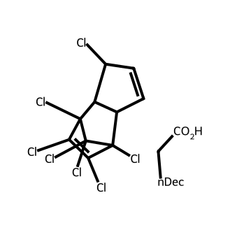 CCCCCCCCCCCC(=O)O.ClC1=C(Cl)C2(Cl)C3C(Cl)C=CC3C1(Cl)C2(Cl)Cl